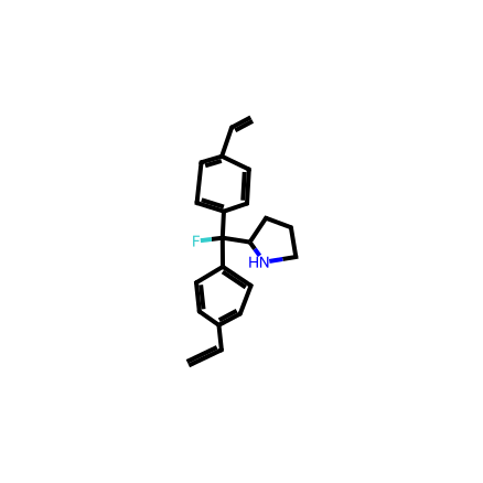 C=Cc1ccc(C(F)(c2ccc(C=C)cc2)C2CCCN2)cc1